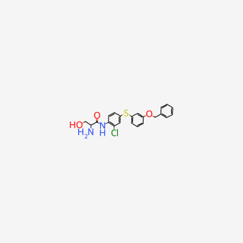 N[C@@H](CO)C(=O)Nc1ccc(Sc2cccc(OCc3ccccc3)c2)cc1Cl